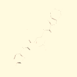 CC(=O)N(C)C[C@H](CNC(=O)C(=O)Nc1ccc(Cl)cn1)NC(=O)c1nc2c(s1)CN(C)CC2.Cl